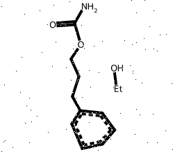 CCO.NC(=O)OCCCc1ccccc1